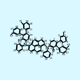 Cc1cccc(-c2ccc(N(c3ccccc3)c3ccc4ccc5c(N(c6ccccc6)c6ccc(-c7cccc(C)c7)c(-c7cccc(C)c7)c6F)ccc6ccc3c4c65)c(F)c2-c2cccc(C)c2)c1